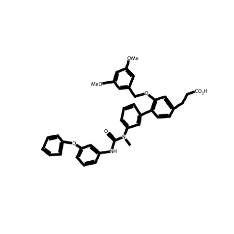 COc1cc(COc2cc(CCC(=O)O)ccc2-c2cccc(N(C)C(=O)Nc3cccc(Oc4ccccc4)c3)c2)cc(OC)c1